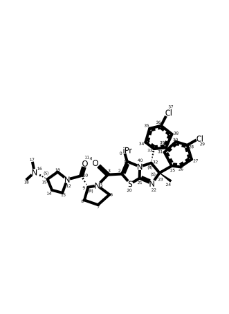 CC(C)C1=C(C(=O)N2CCC[C@@H]2C(=O)N2CC[C@H](N(C)C)C2)SC2=N[C@@](C)(c3ccc(Cl)cc3)[C@@H](c3ccc(Cl)cc3)N21